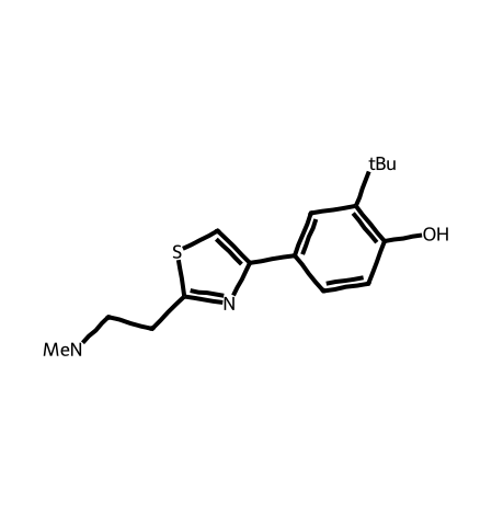 CNCCc1nc(-c2ccc(O)c(C(C)(C)C)c2)cs1